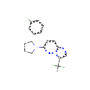 O=CC(F)(F)c1cnc2ccc(N3CCC[C@@H]3c3cccc(F)c3)nn12